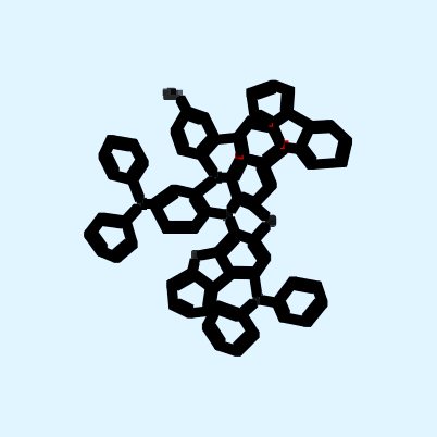 CC(C)(C)c1ccc(N2c3cc(N(c4ccccc4)c4ccccc4)ccc3B3c4c(cc(-n5c6ccccc6c6ccccc65)cc42)Oc2cc(N(c4ccccc4)c4ccccc4)c4c(sc5ccccc54)c23)c(-c2ccccc2)c1